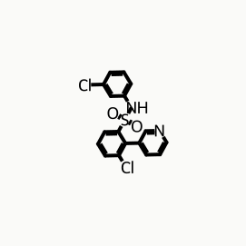 O=S(=O)(Nc1cccc(Cl)c1)c1cccc(Cl)c1-c1cccnc1